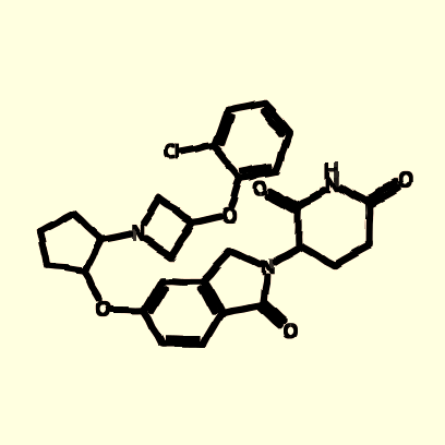 O=C1CCC(N2Cc3cc(OC4CCCC4N4CC(Oc5ccccc5Cl)C4)ccc3C2=O)C(=O)N1